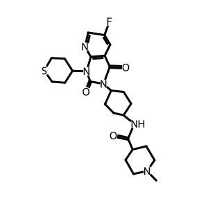 CN1CCC(C(=O)NC2CCC(n3c(=O)c4cc(F)cnc4n(C4CCSCC4)c3=O)CC2)CC1